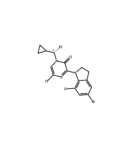 CC[C@@H](C1CC1)n1cc(Cl)nc(N2CCc3cc(Br)cc(Cl)c32)c1=O